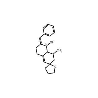 CC1CC2(C=C3CC/C(=C/c4ccccc4)[C@@H](O)C31)SCCS2